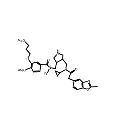 COCCCOc1cc(C(=O)N(CC2CNCC2CN(C(=O)Cc2ccc3oc(C)nc3c2)C2CC2)C(C)C)ccc1OC